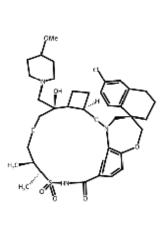 COC1CCN(C[C@@]2(O)CCC[C@H](C)[C@@H](C)S(=O)(=O)NC(=O)c3ccc4c(c3)N(C[C@@H]3CCC32)C[C@@]2(CCCc3cc(Cl)ccc32)CO4)CC1